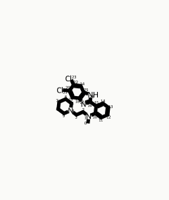 CN(CCN1CCCCC1)c1ccccc1-c1nc2cc(Cl)c(Cl)cc2[nH]1